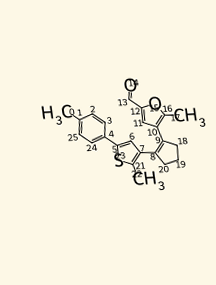 Cc1ccc(-c2cc(C3=C(c4cc(C=O)oc4C)CCC3)c(C)s2)cc1